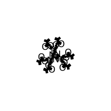 C=C(C)C(=O)OCN(COC(=O)C(=C)C)c1nc(N(COC(=O)C(=C)C)COC(=O)C(=C)C)nc(N(COC(=O)C(=C)C)COC(=O)C(=C)C)n1